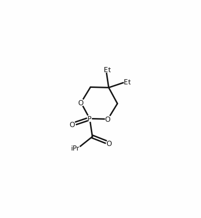 CCC1(CC)COP(=O)(C(=O)C(C)C)OC1